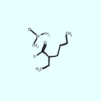 CCCCC(CC)C(=O)[O-].[CH3][Sn+]([CH3])[Cl]